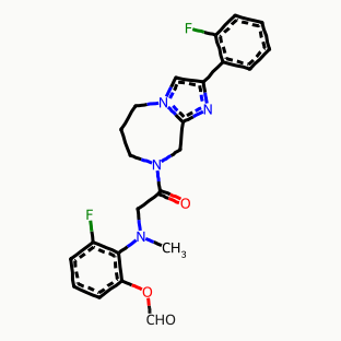 CN(CC(=O)N1CCCn2cc(-c3ccccc3F)nc2C1)c1c(F)cccc1OC=O